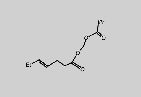 CCC=CCCC(=O)OCOC(=O)C(C)C